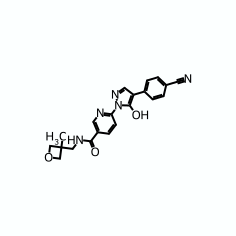 CC1(CNC(=O)c2ccc(-n3ncc(-c4ccc(C#N)cc4)c3O)nc2)COC1